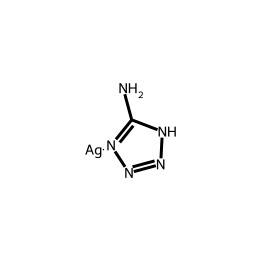 Nc1nnn[nH]1.[Ag]